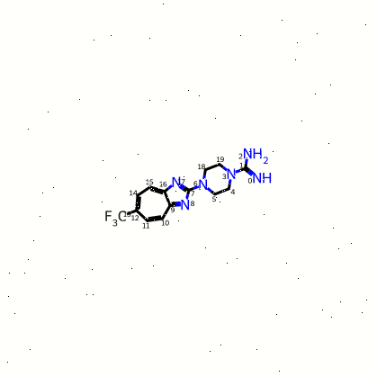 N=C(N)N1CCN(c2nc3ccc(C(F)(F)F)ccc-3n2)CC1